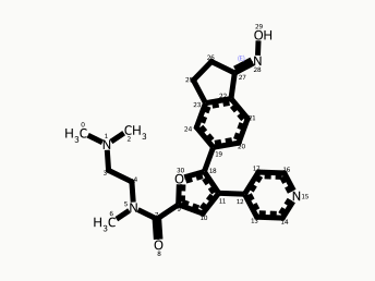 CN(C)CCN(C)C(=O)c1cc(-c2ccncc2)c(-c2ccc3c(c2)CC/C3=N\O)o1